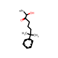 CCCC(O)C(=O)CCCC(C)(C)c1ccccc1